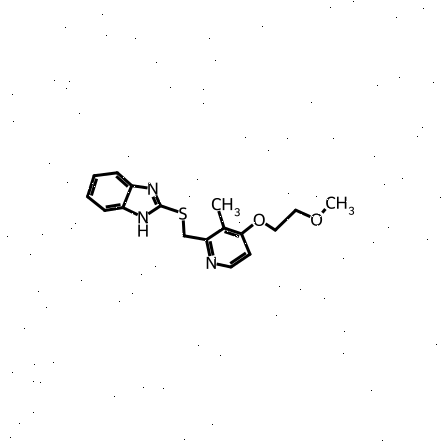 COCCOc1ccnc(CSc2nc3ccccc3[nH]2)c1C